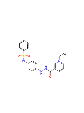 CC(=O)C[n+]1cccc(C(=O)NNc2ccc(NS(=O)(=O)c3ccc(C)cc3)cc2)c1